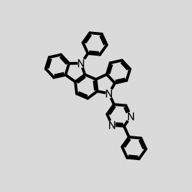 c1ccc(-c2ncc(-n3c4ccccc4c4c3ccc3c5ccccc5n(-c5ccccc5)c34)cn2)cc1